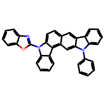 c1ccc(-n2c3ccccc3c3cc4ccc5c(c4cc32)c2ccccc2n5-c2nc3ccccc3o2)cc1